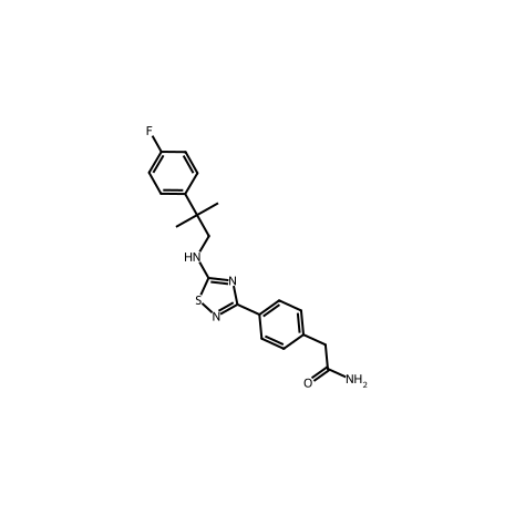 CC(C)(CNc1nc(-c2ccc(CC(N)=O)cc2)ns1)c1ccc(F)cc1